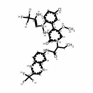 CCC(C(=O)Nc1ccc2nc(C(F)(F)F)cnc2c1)n1cc(OC)c(-c2cc(Cl)ccc2N(N)/C=C(\N)C(F)(F)F)cc1=O